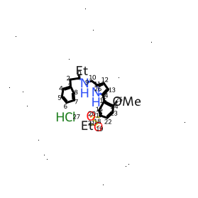 CCC(Cc1ccccc1)NCc1ccc(-c2cc(S(=O)(=O)CC)ccc2OC)[nH]1.Cl